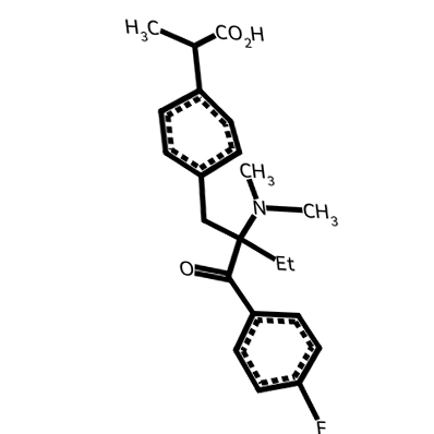 CCC(Cc1ccc(C(C)C(=O)O)cc1)(C(=O)c1ccc(F)cc1)N(C)C